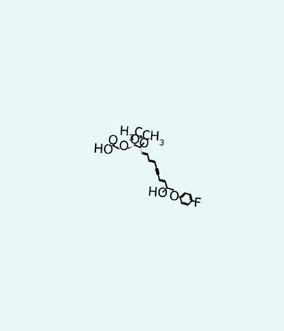 CC1(C)O[C@@H](COCC(=O)O)[C@@H](C=CC=CC#CC=C[C@H](O)COc2ccc(F)cc2)O1